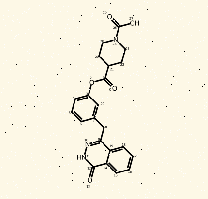 O=C(Oc1cccc(Cc2n[nH]c(=O)c3ccccc23)c1)C1CCN(C(=O)O)CC1